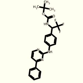 CC(C)(C)OC(=O)NC(c1ccc(Nc2nccc(-c3ccccc3)n2)cc1)C(F)(F)F